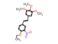 CCOc1ccc(/C=C/c2cc(OC)c(OC)c(OC)c2)cc1[N+](=O)[O-]